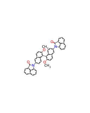 COc1ccc2cc(N3C(=O)c4cccc5cccc3c45)ccc2c1-c1c(OC)ccc2cc(N3C(=O)c4cccc5cccc3c45)ccc12